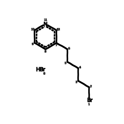 Br.BrCCCCCc1cccnc1